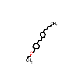 C=CCCCC1CCC(CCC2CCC(COCC=C)CC2)CC1